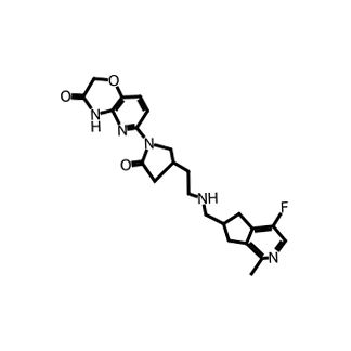 Cc1ncc(F)c2c1CC(CNCCC1CC(=O)N(c3ccc4c(n3)NC(=O)CO4)C1)C2